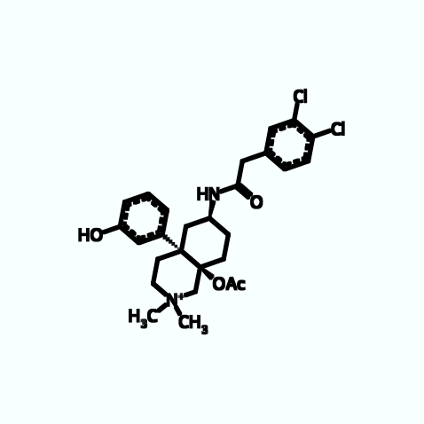 CC(=O)O[C@]12CC[C@H](NC(=O)Cc3ccc(Cl)c(Cl)c3)C[C@]1(c1cccc(O)c1)CC[N+](C)(C)C2